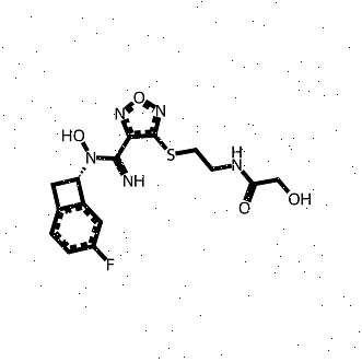 N=C(c1nonc1SCCNC(=O)CO)N(O)[C@H]1Cc2ccc(F)cc21